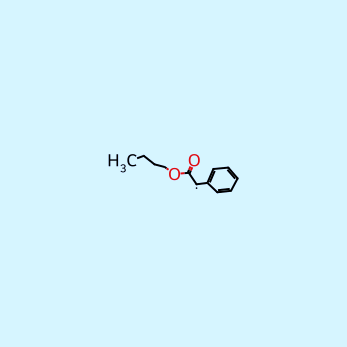 CCCCOC(=O)[CH]c1ccccc1